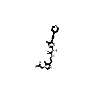 Cc1nc(NC(=O)NCCc2ncn(CC(F)F)c2C)sc1C#Cc1ccncc1